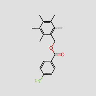 Cc1c(C)c(C)c(COC(=O)c2ccc([18F])cc2)c(C)c1C